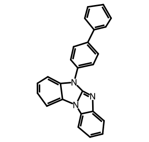 c1ccc(-c2ccc(-n3c4ccccc4n4c5ccccc5nc34)cc2)cc1